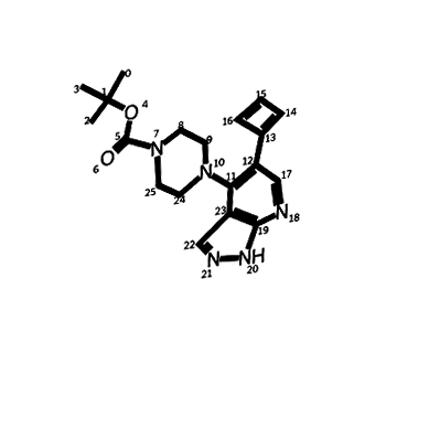 CC(C)(C)OC(=O)N1CCN(c2c(C3=CC=C3)cnc3[nH]ncc23)CC1